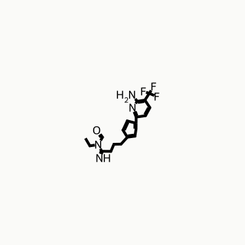 CCN(C=O)C(=N)CCCc1ccc(-c2ccc(C(F)(F)F)c(N)n2)cc1